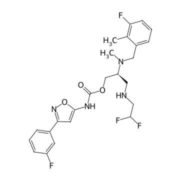 Cc1c(F)cccc1CN(C)[C@@H](CNCC(F)F)COC(=O)Nc1cc(-c2cccc(F)c2)no1